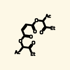 CCC(=O)C(OC(=O)/C=C\C(=O)OC(C(C)=O)C(=O)CC)C(C)=O